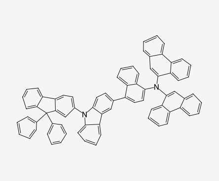 c1ccc(C2(c3ccccc3)c3ccccc3-c3ccc(-n4c5ccccc5c5cc(-c6ccc(N(c7cc8ccccc8c8ccccc78)c7cc8ccccc8c8ccccc78)c7ccccc67)ccc54)cc32)cc1